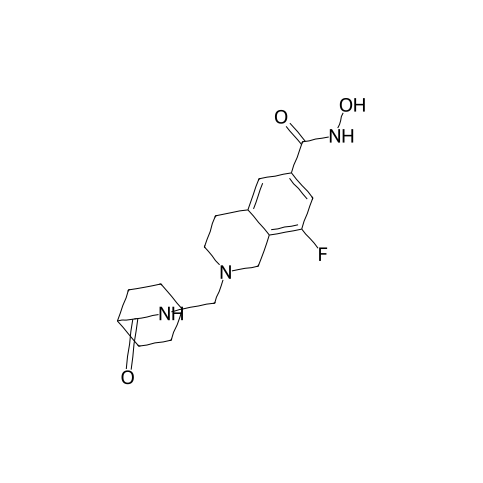 O=C(NO)c1cc(F)c2c(c1)CCN(CC13CCC(CC1)C(=O)N3)C2